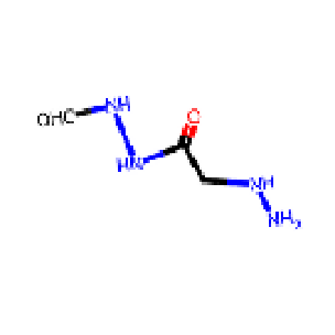 NNCC(=O)NNC=O